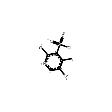 Cc1c(Br)cnc(Cl)c1S(=O)(=O)Cl